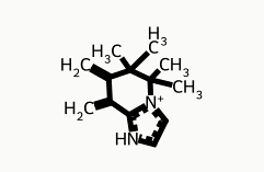 C=C1C(=C)C(C)(C)C(C)(C)[n+]2cc[nH]c21